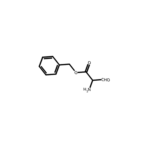 NC(C=O)C(=O)OCc1ccccc1